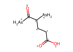 O=C(O)CCC([AsH2])C(=O)[AsH2]